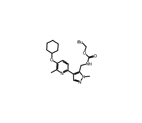 CCC(C)COC(=O)NCc1c(-c2ccc(OC3CCCCC3)c(C)n2)cnn1C